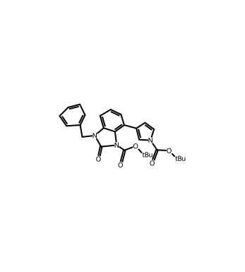 CC(C)(C)OC(=O)n1ccc(-c2cccc3c2n(C(=O)OC(C)(C)C)c(=O)n3Cc2ccccc2)c1